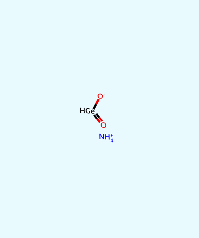 [NH4+].[O]=[GeH][O-]